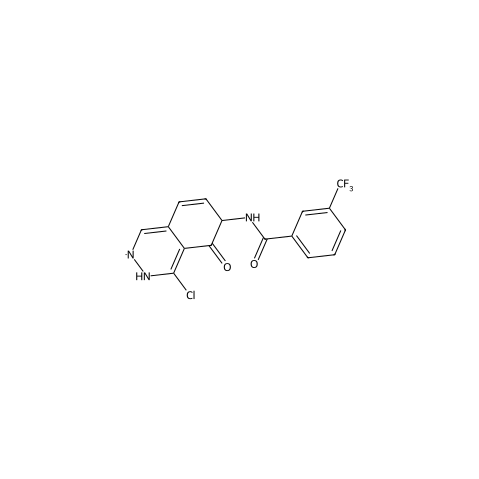 O=C(NC1C=CC2=C[N]NC(Cl)=C2C1=O)c1cccc(C(F)(F)F)c1